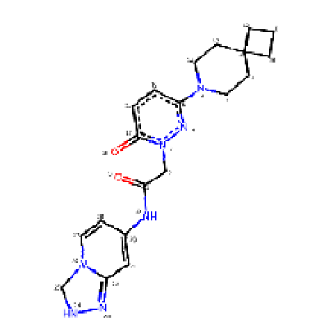 O=C(Cn1nc(N2CCC3(CCC3)CC2)ccc1=O)NC1=CC2=NNCN2C=C1